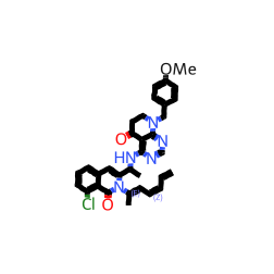 C=C/C=C\C=C(/C)n1c(C(C)Nc2ncnc3c2C(=O)CCN3Cc2ccc(OC)cc2)cc2cccc(Cl)c2c1=O